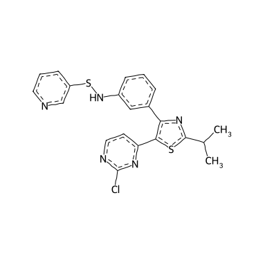 CC(C)c1nc(-c2cccc(NSc3cccnc3)c2)c(-c2ccnc(Cl)n2)s1